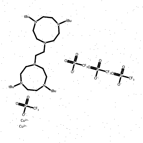 CC(C)(C)N1CCN(CCN2CCN(C(C)(C)C)CCN(C(C)(C)C)CC2)CCN(C(C)(C)C)CC1.O=S(=O)([O-])C(F)(F)F.O=S(=O)([O-])C(F)(F)F.O=S(=O)([O-])C(F)(F)F.O=S(=O)([O-])C(F)(F)F.[Cu+2].[Cu+2]